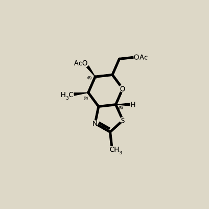 CC(=O)OCC1O[C@@H]2SC(C)=NC2[C@@H](C)[C@H]1OC(C)=O